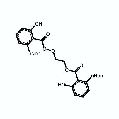 CCCCCCCCCc1cccc(O)c1C(=O)OCCOOC(=O)c1c(O)cccc1CCCCCCCCC